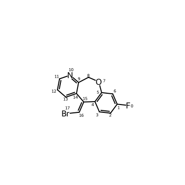 Fc1ccc2c(c1)OCc1ncccc1/C2=C\Br